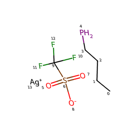 CCCCP.O=S(=O)([O-])C(F)(F)F.[Ag+]